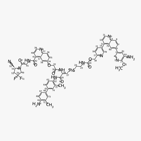 COc1ncc(-c2ccc3nccc(-c4ccc(COC(=O)NCCSSCC(NC(=O)COc5ccc6nccc(C(=O)NCC(=O)N7CC(F)(F)C[C@H]7C#N)c6c5)C(=O)Nc5ccc(-c6ccc(N)c(C)c6)cc5C)nc4)c3c2)cc1N